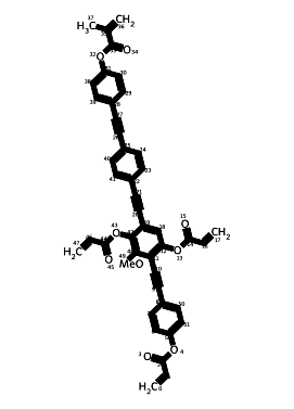 C=CC(=O)Oc1ccc(C#Cc2c(OC(=O)C=C)cc(C#Cc3ccc(C#Cc4ccc(OC(=O)C(=C)C)cc4)cc3)c(OC(=O)C=C)c2OC)cc1